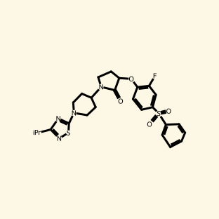 CC(C)c1nsc(N2CCC(N3CCC(Oc4ccc(S(=O)(=O)c5ccccc5)cc4F)C3=O)CC2)n1